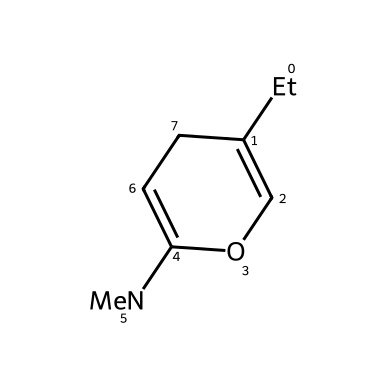 CCC1=COC(NC)=CC1